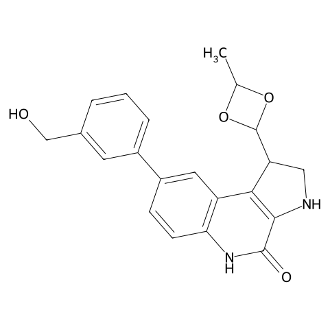 CC1OC(C2CNc3c2c2cc(-c4cccc(CO)c4)ccc2[nH]c3=O)O1